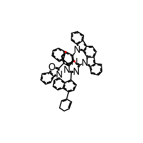 C1=CC(c2ccc(-c3nc(-c4ccccc4)nc(-n4c5ccccc5c5ccc6c7ccccc7n(-c7ccc(-c8nc9ccccc9o8)cc7)c6c54)n3)c3ccccc23)=CCC1